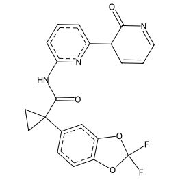 O=C1N=CC=CC1c1cccc(NC(=O)C2(c3ccc4c(c3)OC(F)(F)O4)CC2)n1